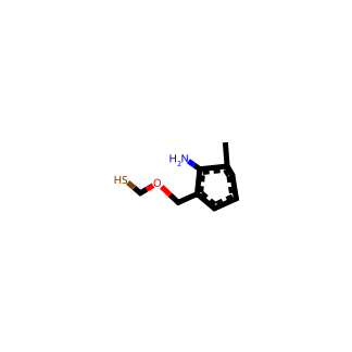 Cc1cccc(COCS)c1N